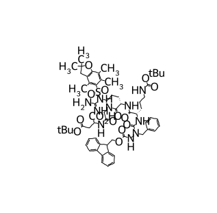 Cc1c(C)c(S(=O)(=O)N(CCC[C@H](NC(=O)[C@H](CCCNC(=O)OC(C)(C)C)NC(=O)N(Cc2ccccc2)NC(=O)OCC2c3ccccc3-c3ccccc32)C(=O)NCC(=O)N[C@@H](CC(=O)OC(C)(C)C)C(=O)O)C(=N)N)c(C)c2c1OC(C)(C)C2